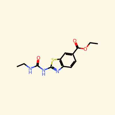 CCNC(=O)Nc1nc2ccc(C(=O)OCC)cc2s1